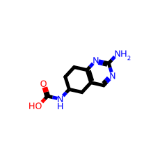 Nc1ncc2c(n1)CCC(NC(=O)O)C2